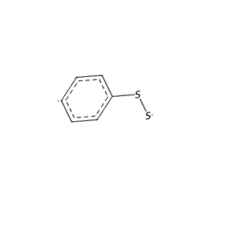 [S]Sc1cc[c]cc1